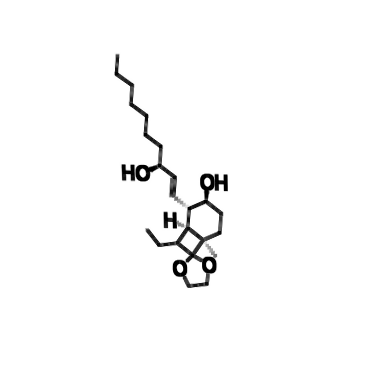 CCCCCCC[C@H](O)/C=C/[C@@H]1[C@@H](O)CC[C@]2(C)[C@H]1C(CC)C21OCCO1